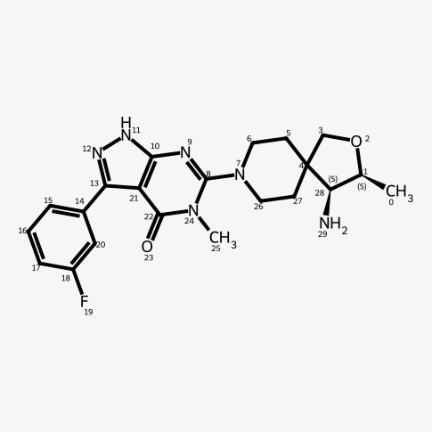 C[C@@H]1OCC2(CCN(c3nc4[nH]nc(-c5cccc(F)c5)c4c(=O)n3C)CC2)[C@@H]1N